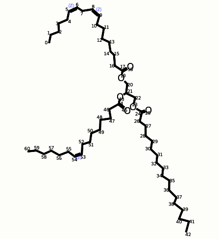 CCCCC/C=C\C/C=C\CCCCCCCC(=O)OCC(COC(=O)CCCCCCCCCCCCCCCCC)OC(=O)CCCCCCC/C=C\CCCCCC